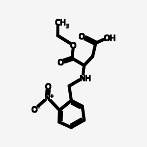 CCOC(=O)C(CC(=O)O)NCc1ccccc1[N+](=O)[O-]